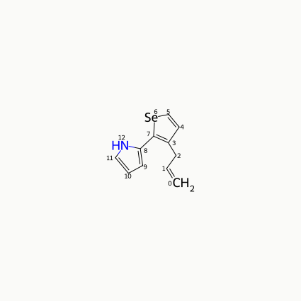 C=CCc1cc[se]c1-c1ccc[nH]1